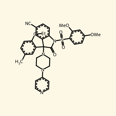 CCOc1ccc(C)cc1C1(N2CCN(c3ccncc3)CC2)C(=O)N(S(=O)(=O)c2ccc(OC)cc2OC)c2ccc(C#N)cc21